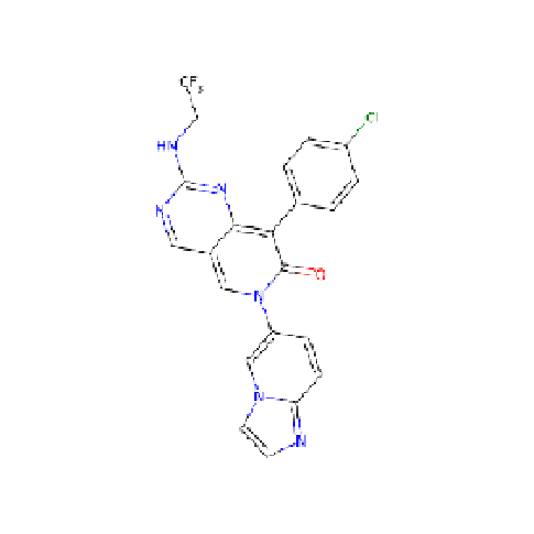 O=c1c(-c2ccc(Cl)cc2)c2nc(NCC(F)(F)F)ncc2cn1-c1ccc2nccn2c1